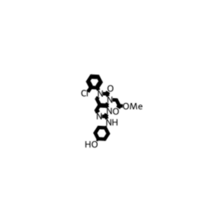 COC(=O)CN1C(=O)N(c2ccccc2Cl)Cc2cnc(N[C@H]3CC[C@H](O)CC3)nc21